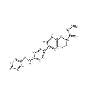 CC(C)(C)OC(=O)N1CCc2cc(-c3ccc(OCc4ccccc4)cc3)nnc2C1